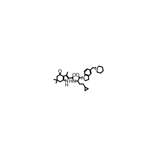 Cc1c(C(=O)NC(CCC2CC2)C(=O)N2CCc3cc(CN4CCCCC4)ccc32)[nH]c2c1C(=O)CC(C)(C)C2